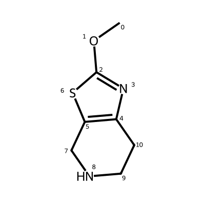 COc1nc2c(s1)CNCC2